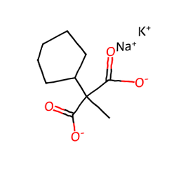 CC(C(=O)[O-])(C(=O)[O-])C1CCCCC1.[K+].[Na+]